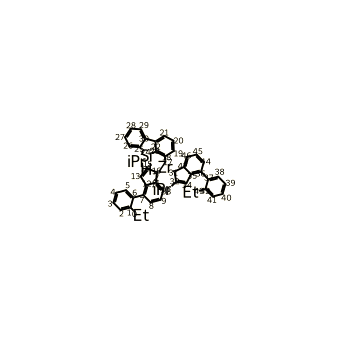 CCc1ccccc1-c1cccc2c1C=C(C(C)C)[CH]2[Zr]([c]1cccc2c1[SiH2]c1ccccc1-2)[CH]1C(C(C)C)=Cc2c(-c3ccccc3CC)cccc21